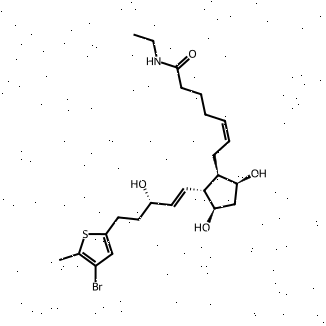 CCNC(=O)CCC/C=C\C[C@@H]1[C@@H](/C=C/[C@@H](O)CCc2cc(Br)c(C)s2)[C@H](O)C[C@@H]1O